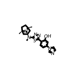 CN(c1nnc(-c2ccc(-n3ccnc3)cc2O)s1)[C@H]1C[C@]2(C)CC[C@](C)(C1)N2C